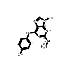 Cn1cnc2c(Nc3ccc(Cl)cc3)nc(NN)nc21